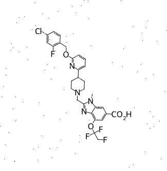 Cn1c(CN2CCC(c3cccc(OCc4ccc(Cl)cc4F)n3)CC2)nc2c(OC(F)(F)CF)cc(C(=O)O)cc21